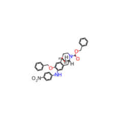 O=C(OCc1ccccc1)N1CC[C@]23CCCC[C@H]2[C@H]1Cc1cc(Nc2ccc([N+](=O)[O-])cc2)c(OCc2ccccc2)cc13